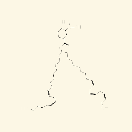 CC/C=C\C/C=C\C/C=C\CCCCCCCC[C@@H](CCCCCCCC/C=C\C/C=C\CCCCC)OC(=O)C1CCCC(N(C)C)C1